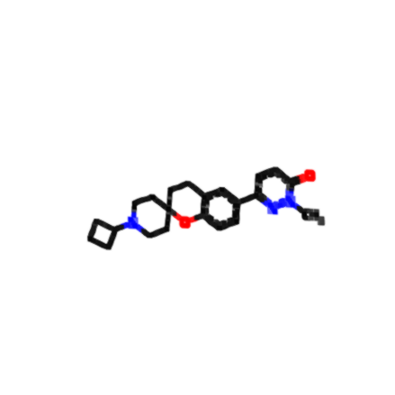 Cn1nc(-c2ccc3c(c2)CCC2(CCN(C4CCC4)CC2)O3)ccc1=O